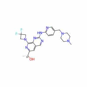 C[C@@H](O)c1cc2cnc(Nc3ccc(CN4CCN(C)CC4)cn3)nc2c(N2CC(F)(F)C2)n1